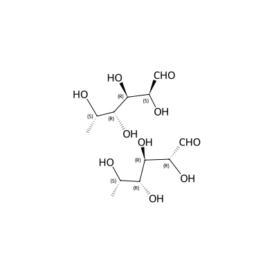 C[C@H](O)[C@@H](O)[C@@H](O)[C@@H](O)C=O.C[C@H](O)[C@@H](O)[C@@H](O)[C@H](O)C=O